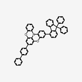 c1ccc(-c2ccc(-c3cc4c5c(c3)Oc3cc(-c6cccc7c6-c6ccccc6C7(c6ccccc6)c6ccccc6)ccc3N5c3ccccc3O4)cc2)cc1